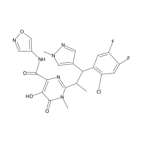 CC(c1nc(C(=O)Nc2cnoc2)c(O)c(=O)n1C)C(c1cnn(C)c1)c1cc(F)c(F)cc1Cl